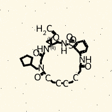 C=C[C@@H]1C[C@@]12NC(=O)CN(CC1CCCC1)C(=O)CCCCCCCC(=O)Nc1ccccc1S(=O)(=O)NC2=O